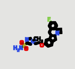 C[N+]1(CCOc2ccc3c(c2)C(Cc2cccc(F)c2)C(N2CCC2)C3)C=NC(S(N)(=O)=O)=C1